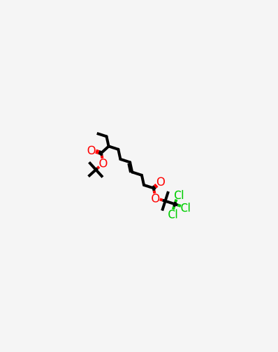 CCC(CCC=CCCC(=O)OC(C)(C)C(Cl)(Cl)Cl)C(=O)OC(C)(C)C